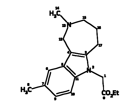 CCOC(=O)Cn1c2c(c3cc(C)ccc31)CN(C)CCC2